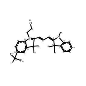 CN1/C(=C/C=C/C2=[N+](CCCl)c3ccc(C(F)(F)F)cc3C2(C)C)C(C)(C)c2ccccc21